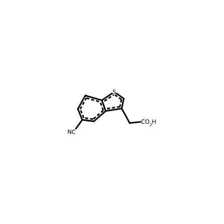 N#Cc1ccc2scc(CC(=O)O)c2c1